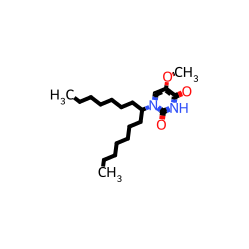 CCCCCCCC(CCCCCCC)n1cc(OC)c(=O)[nH]c1=O